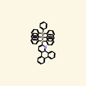 c1ccc([Si](c2ccccc2)(c2ccccc2)[Si](c2ccccc2)(c2ccccc2)[Si](c2ccccc2)(c2ccccc2)c2ccc3c4ccccc4c4ccccc4c3n2)cc1